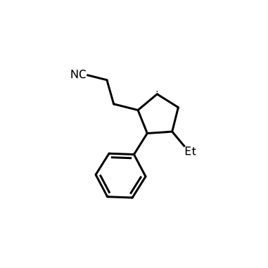 [CH2]CC1C[CH]C(CCC#N)C1c1ccccc1